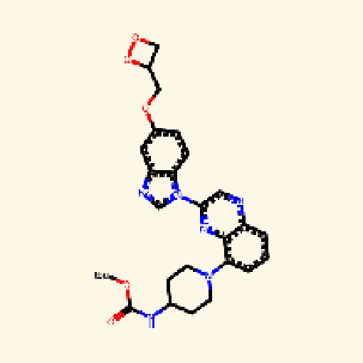 CC(C)(C)OC(=O)NC1CCN(c2cccc3ncc(-n4cnc5cc(OCC6COO6)ccc54)nc23)CC1